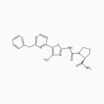 Cc1nc(NC(=O)N2CCC[C@H]2C(N)=O)sc1-c1ccnc(Cc2ccccc2)n1